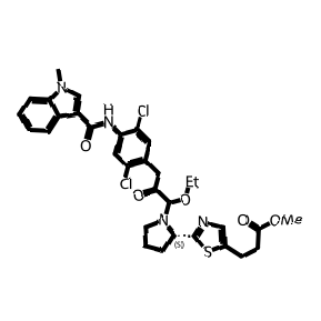 CCOC(C(=O)Cc1cc(Cl)c(NC(=O)c2cn(C)c3ccccc23)cc1Cl)N1CCC[C@H]1c1ncc(CCC(=O)OC)s1